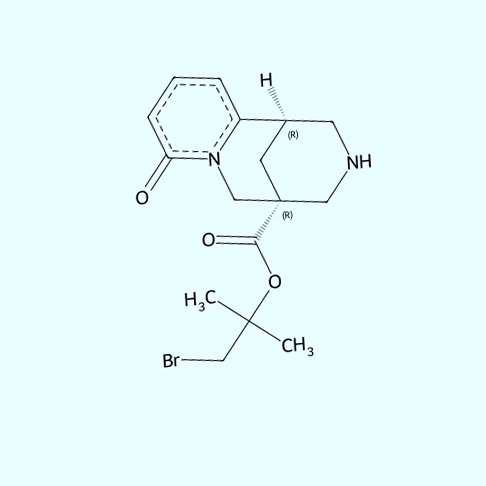 CC(C)(CBr)OC(=O)[C@@]12CNC[C@@H](C1)c1cccc(=O)n1C2